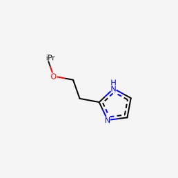 [CH2]C(C)OCCc1ncc[nH]1